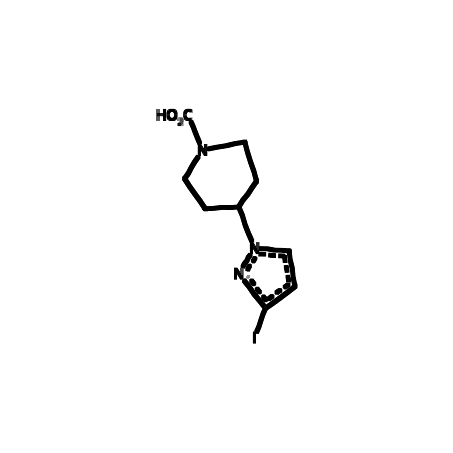 O=C(O)N1CCC(n2ccc(I)n2)CC1